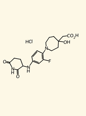 Cl.O=C(O)CC1(O)CCCN(c2ccc(NC3CCC(=O)NC3=O)cc2F)CC1